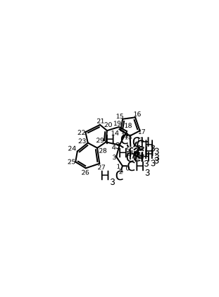 CC(C)C[C]1([Hf]([CH3])([CH3])([CH3])([CH3])([CH3])([CH3])([CH3])[CH]2C=CC=C2)C=Cc2ccc3ccccc3c21